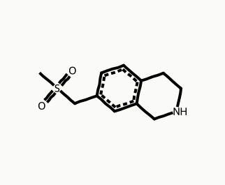 CS(=O)(=O)Cc1ccc2c(c1)CNCC2